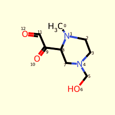 CN1CCN(CO)CC1C(=O)C=O